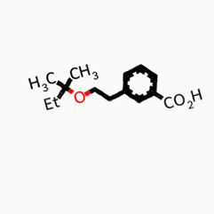 CCC(C)(C)OCCc1cccc(C(=O)O)c1